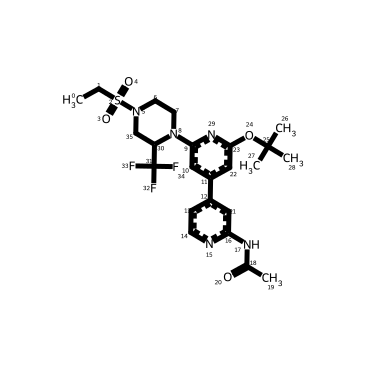 CCS(=O)(=O)N1CCN(c2cc(-c3ccnc(NC(C)=O)c3)cc(OC(C)(C)C)n2)C(C(F)(F)F)C1